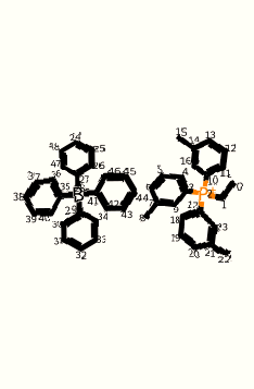 CC[P+](c1cccc(C)c1)(c1cccc(C)c1)c1cccc(C)c1.c1ccc([B-](c2ccccc2)(c2ccccc2)c2ccccc2)cc1